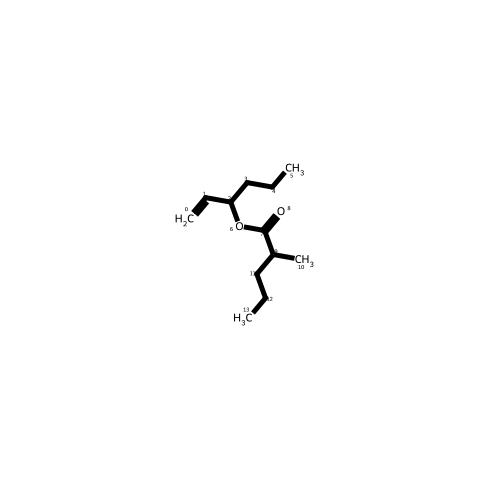 C=CC(CCC)OC(=O)C(C)CCC